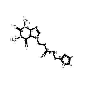 CN1C(=O)C2C(N=CN2CCC(=O)NCc2ccco2)N(C)C1=O